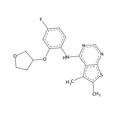 Cc1sc2ncnc(Nc3ccc(F)cc3OC3CCOC3)c2c1C